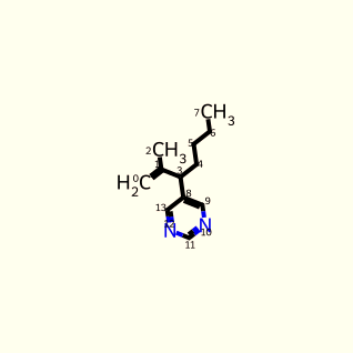 C=C(C)C(CCCC)c1cncnc1